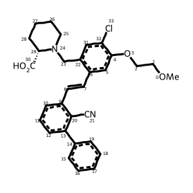 COCCOc1cc(/C=C/c2cccc(-c3ccccc3)c2C#N)c(CN2CCCC[C@H]2C(=O)O)cc1Cl